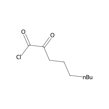 CCCCCCCC(=O)C(=O)Cl